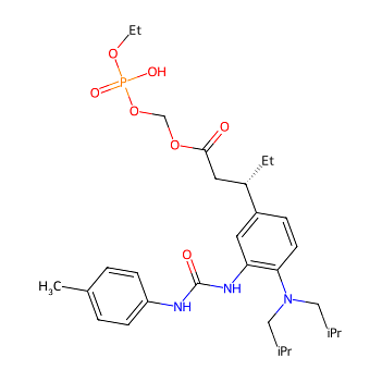 CCOP(=O)(O)OCOC(=O)C[C@H](CC)c1ccc(N(CC(C)C)CC(C)C)c(NC(=O)Nc2ccc(C)cc2)c1